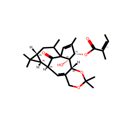 C/C=C(/C)C(=O)O[C@H]1C(C)=CC23C(=O)[C@@H](C=C4COC(C)(C)O[C@H]4[C@]12O)[C@H]1[C@@H](CC3C)C1(C)C